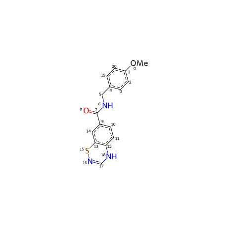 COc1ccc(CNC(=O)c2ccc3c(c2)SN=CN3)cc1